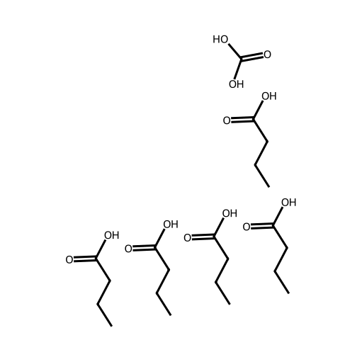 CCCC(=O)O.CCCC(=O)O.CCCC(=O)O.CCCC(=O)O.CCCC(=O)O.O=C(O)O